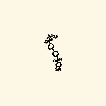 CC(C)(NC(=O)C1CCC(c2ccc(NC(=O)c3ccc4ncsc4c3)cc2)CC1)C(=O)O